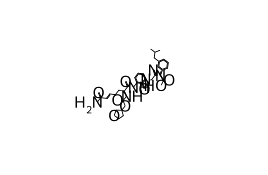 CC(C)Cc1cccc2c1nc(Cn1cccc(NC(=O)[C@H](CC/C=C/C(N)=O)NC(=O)OC3CCOC3)c1=O)n2C(=O)O